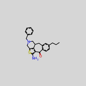 CCCc1ccc2c(c1)CC1CN(Cc3ccccc3)Cc3sc(N)c(c31)C2=O